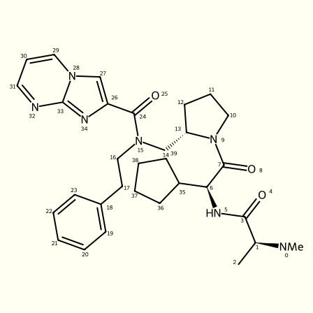 CN[C@@H](C)C(=O)N[C@H](C(=O)N1CCC[C@H]1CN(CCc1ccccc1)C(=O)c1cn2cccnc2n1)C1CCCC1